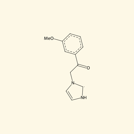 COc1cccc(C(=O)CN2[CH]NC=C2)c1